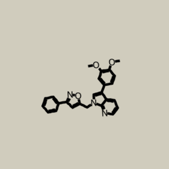 COc1ccc(-c2cn(Cc3cc(-c4ccccc4)no3)c3ncccc23)cc1OC